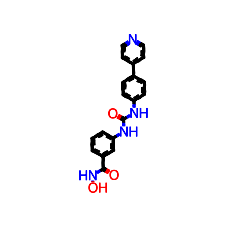 O=C(Nc1ccc(-c2ccncc2)cc1)Nc1cccc(C(=O)NO)c1